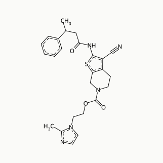 Cc1nccn1CCOC(=O)N1CCc2c(sc(NC(=O)CC(C)c3ccccc3)c2C#N)C1